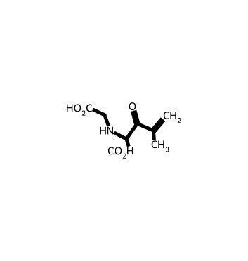 C=C(C)C(=O)C(NCC(=O)O)C(=O)O